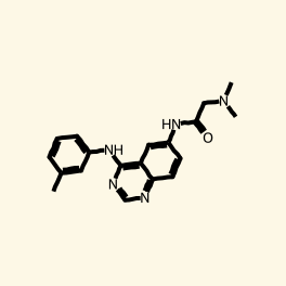 Cc1cccc(Nc2ncnc3ccc(NC(=O)CN(C)C)cc23)c1